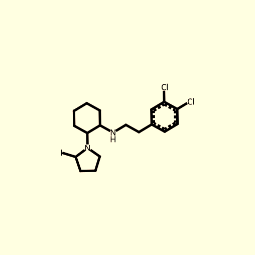 Clc1ccc(CCNC2CCCCC2N2CCCC2I)cc1Cl